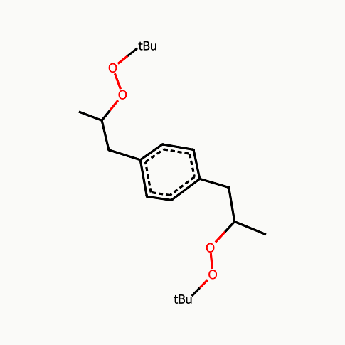 CC(Cc1ccc(CC(C)OOC(C)(C)C)cc1)OOC(C)(C)C